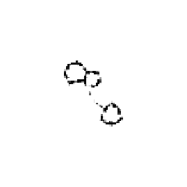 c1ccc(On2ccc3ccccc32)cc1